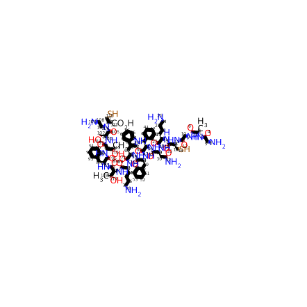 C[C@H](NC(=O)CN)C(=O)NCC(=O)N[C@@H](CS)C(=O)N[C@@H](CCCCN)C(=O)N[C@@H](CC(N)=O)C(=O)N[C@@H](Cc1ccccc1)C(=O)N[C@@H](Cc1ccccc1)C(=O)N[C@@H](Cc1c[nH]c2ccccc12)C(=O)N[C@@H](CCCCN)C(=O)N[C@H](C(=O)N[C@@H](Cc1ccccc1)C(=O)N[C@H](C(=O)N[C@@H](CO)C(=O)N(CCN)[C@@H](CS)C(=O)O)[C@@H](C)O)[C@@H](C)O